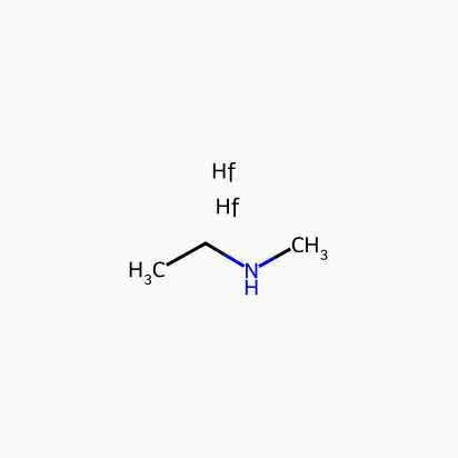 CCNC.[Hf].[Hf]